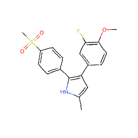 COc1ccc(-c2cc(C)[nH]c2-c2ccc(S(C)(=O)=O)cc2)cc1F